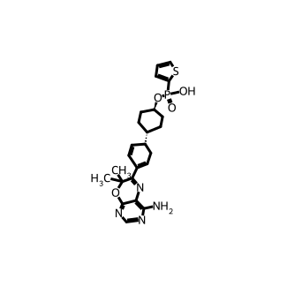 CC1(C)Oc2ncnc(N)c2N=C1C1=CCC([C@H]2CC[C@H](OP(=O)(O)c3cccs3)CC2)C=C1